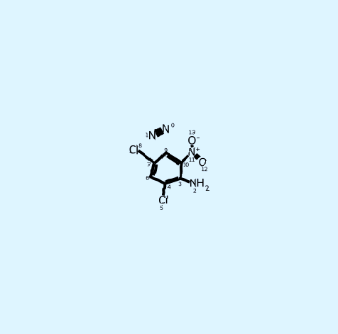 N#N.Nc1c(Cl)cc(Cl)cc1[N+](=O)[O-]